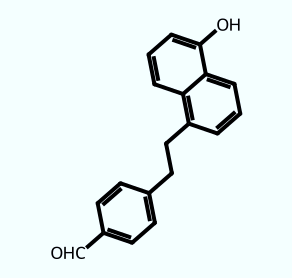 O=Cc1ccc(CCc2cccc3c(O)cccc23)cc1